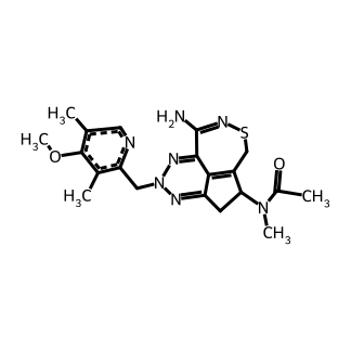 COc1c(C)cnc(CN2N=C3CC(N(C)C(C)=O)C4=C3C(=N2)C(N)=NSC4)c1C